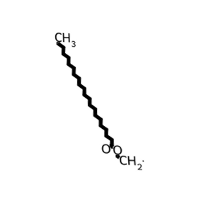 [CH2]COC(=O)CCCCCCCCCCCCCCCCCCCCC